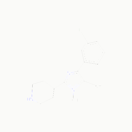 Cc1c(-c2cccc(F)c2)nc(C2CCNCC2)n1C